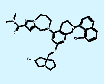 CN(C)C(=O)c1cc2n(n1)CCCN(c1nc(OC[C@@]34CCCN3C[C@H](F)C4)nc3c1CCN(c1cccc4cccc(Cl)c14)C3)C2